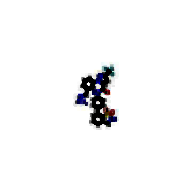 NN=Cc1cccc(-n2nc(C(F)(F)F)cc2C(=O)Nc2ccc(-c3cccc4c3S(=O)(=O)NC4)cc2)c1